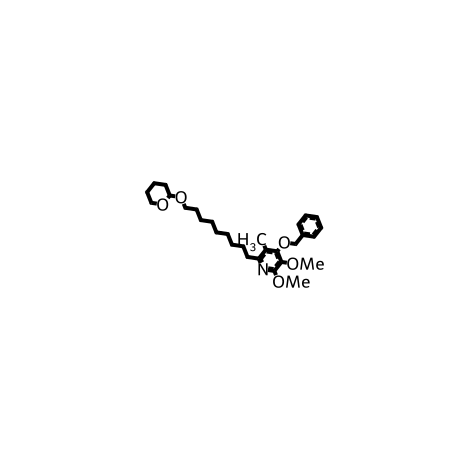 COc1nc(CCCCCCCCCOC2CCCCO2)c(C)c(OCc2ccccc2)c1OC